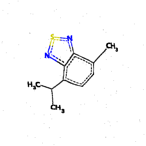 Cc1ccc(C(C)C)c2nsnc12